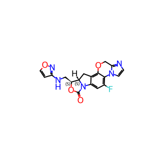 O=C1O[C@@H](CNc2ccon2)[C@@H]2Cc3c(cc(F)c4c3OCc3nccn3-4)N12